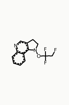 FCC(F)(F)ON1CCc2cnc3ccccc3c21